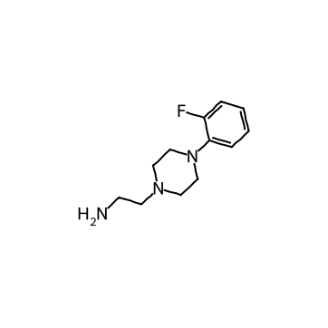 NCCN1CCN(c2ccccc2F)CC1